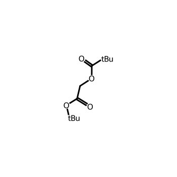 CC(C)(C)OC(=O)COC(=O)C(C)(C)C